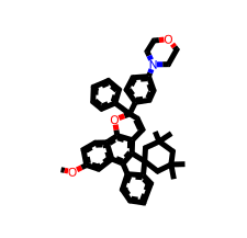 COc1ccc2c3c(c4c(c2c1)-c1ccccc1C41CC(C)(C)CC(C)(C)C1)C=CC(c1ccccc1)(c1ccc(N2CCOCC2)cc1)O3